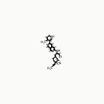 CC#CC1(C#N)CCC(=C/C(=C\CC)Nc2cc3cc(C4=CNCC=C4C)ncc3cn2)CC1